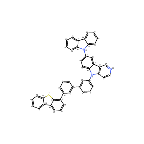 c1cc(-c2cccc(-n3c4ccncc4c4cc(-n5c6ccccc6c6ccccc65)ccc43)c2)cc(-c2cccc3c2sc2ccccc23)c1